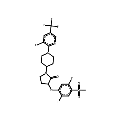 CS(=O)(=O)c1cc(F)c(NC2CCN(C3CCN(c4ncc(C(F)(F)F)cc4Cl)CC3)C2=O)cc1F